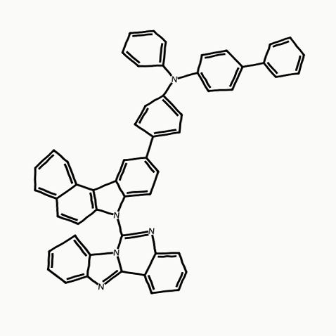 c1ccc(-c2ccc(N(c3ccccc3)c3ccc(-c4ccc5c(c4)c4c6ccccc6ccc4n5-c4nc5ccccc5c5nc6ccccc6n45)cc3)cc2)cc1